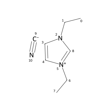 CCn1cc[n+](CC)c1.[C-]#N